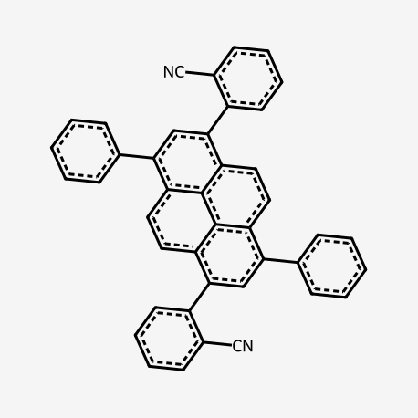 N#Cc1ccccc1-c1cc(-c2ccccc2)c2ccc3c(-c4ccccc4C#N)cc(-c4ccccc4)c4ccc1c2c43